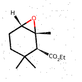 CCOC(=O)[C@H]1C(C)(C)CC[C@@H]2O[C@@]21C